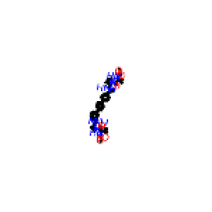 COC(=O)NC(C(=O)N1CCCC1c1ncc(-c2ccc(-c3ccc(-c4ccc5nc(C6CCN6C(=O)C(NC(=O)OC)C(C)C)[nH]c5c4)cc3)cc2)[nH]1)C(C)C